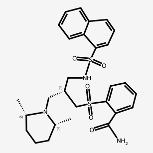 C[C@@H]1CCC[C@H](C)N1C[C@H](CNS(=O)(=O)c1cccc2ccccc12)CS(=O)(=O)c1ccccc1C(N)=O